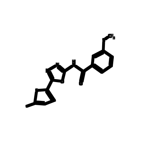 Cc1ccc(-c2nnc(NC(=O)c3cccc(SC(F)(F)F)c3)o2)s1